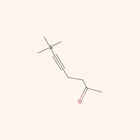 CC(=O)CCC#C[Si](C)(C)C